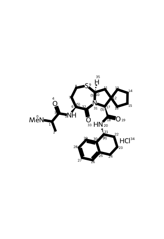 CNC(C)C(=O)N[C@H]1CCS[C@H]2CC3(CCCC3)[C@@H](C(=O)N[C@@H]3CCCc4ccccc43)N2C1=O.Cl